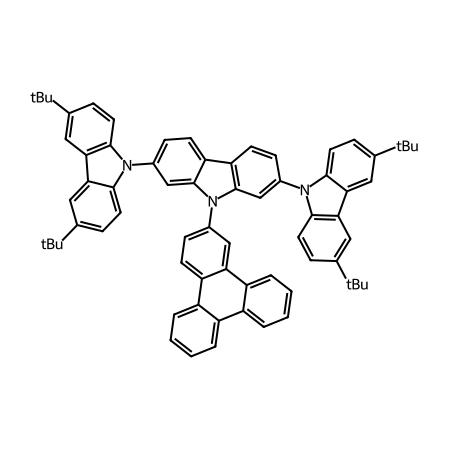 CC(C)(C)c1ccc2c(c1)c1cc(C(C)(C)C)ccc1n2-c1ccc2c3ccc(-n4c5ccc(C(C)(C)C)cc5c5cc(C(C)(C)C)ccc54)cc3n(-c3ccc4c5ccccc5c5ccccc5c4c3)c2c1